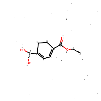 CCOC(=O)C1=CC=C(B(O)O)CC1